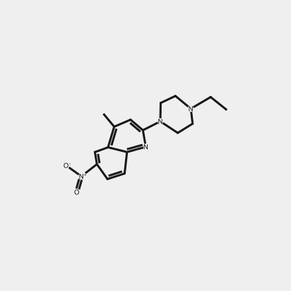 CCN1CCN(c2cc(C)c3cc([N+](=O)[O-])ccc3n2)CC1